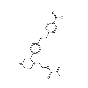 C=C(C)C(=O)OCCN1CCNCC1c1ccc(C=Cc2ccc([N+](=O)[O-])cc2)cc1